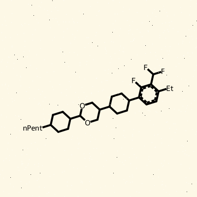 CCCCCC1CCC(C2OCC(C3CCC(c4ccc(CC)c(C(F)F)c4F)CC3)CO2)CC1